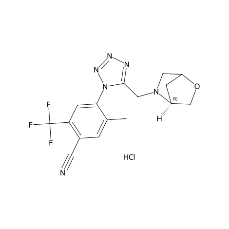 Cc1cc(C#N)c(C(F)(F)F)cc1-n1nnnc1CN1CC2C[C@H]1CO2.Cl